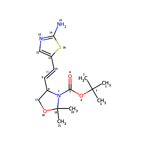 CC(C)(C)OC(=O)N1C(/C=C/c2cnc(N)s2)COC1(C)C